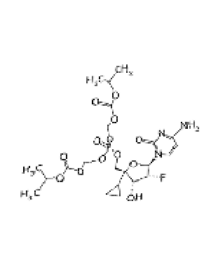 CC(C)OC(=O)OCOP(=O)(OCOC(=O)OC(C)C)OC[C@@]1(C2CC2)O[C@@H](n2ccc(N)nc2=O)[C@H](F)[C@@H]1O